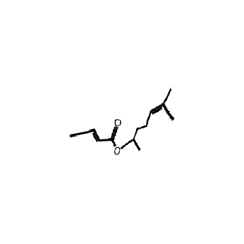 CC=CC(=O)OC(C)CCC=C(C)C